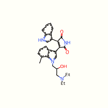 CCN(CC)CC(O)Cn1cc(C2=C(c3c[nH]c4ccccc34)C(=O)NC2=O)c2cccc(C)c21